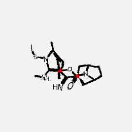 CNc1c(C(=N)N2CC3CCC(C2)N3C(=O)OC(C)(C)C)cc(C)n1SI